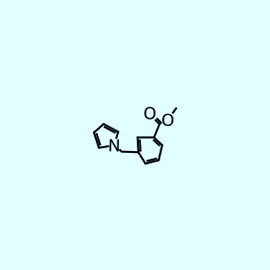 COC(=O)c1cccc(Cn2cccc2)c1